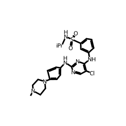 CC(C)NS(=O)(=O)c1cccc(Nc2nc(Nc3ccc(N4CCN(C)CC4)cc3)ncc2Cl)c1